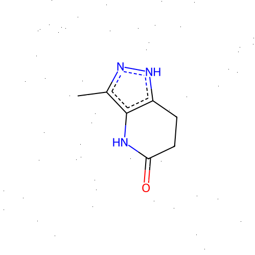 Cc1n[nH]c2c1NC(=O)CC2